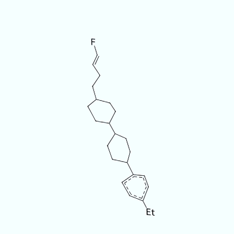 CCc1ccc(C2CCC(C3CCC(CC/C=C/F)CC3)CC2)cc1